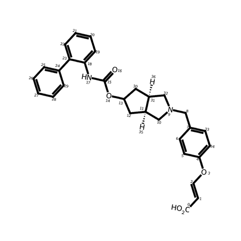 O=C(O)/C=C/Oc1ccc(CN2C[C@H]3CC(OC(=O)Nc4ccccc4-c4ccccc4)C[C@H]3C2)cc1